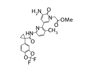 COC(=O)Cn1cc(-c2nc(NC(=O)C3(c4ccc5c(c4)OC(F)(F)O5)CC3)ccc2C)cc(N)c1=O